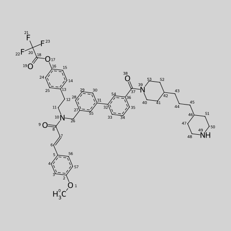 COc1ccc(/C=C/C(=O)N(CCc2ccc(OC(=O)C(F)(F)F)cc2)Cc2cccc(-c3cccc(C(=O)N4CCC(CCCC5CCNCC5)CC4)c3)c2)cc1